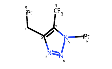 CC(C)Cc1nnn(C(C)C)c1C(F)(F)F